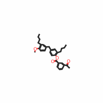 CCCCc1cc(Cc2ccc(OC(=O)c3cccc(C(C)=O)c3)c(CCCC)c2)ccc1OC